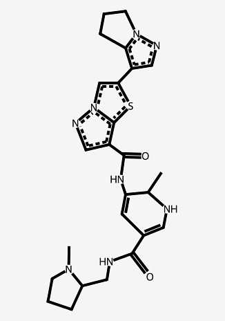 CC1NC=C(C(=O)NCC2CCCN2C)C=C1NC(=O)c1cnn2cc(-c3cnn4c3CCC4)sc12